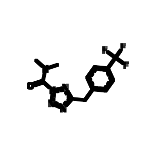 CN(C)C(=O)n1nnc(Cc2ccc(C(F)(F)F)cc2)n1